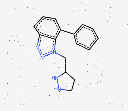 c1ccc(-c2cccc3nnn(CC4CCNN4)c23)cc1